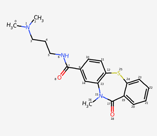 CN(C)CCCNC(=O)c1ccc2c(c1)N(C)C(=O)c1ccccc1S2